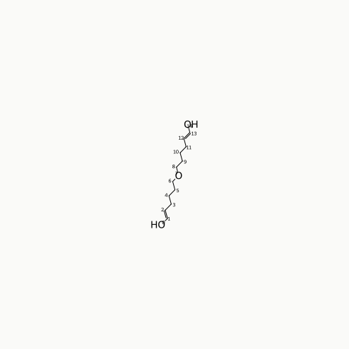 OC=CCCCCOCCCCC=CO